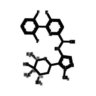 C[C@@H]1OC(c2c(NC(O)c3ccc(F)c(-c4c(F)cccc4F)n3)cnn2C)C[C@H](N)[C@@]1(C)O